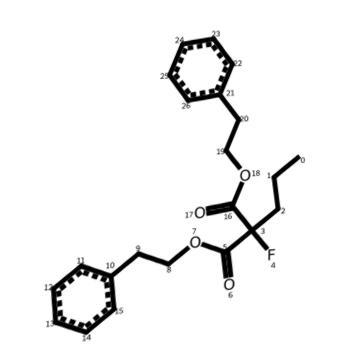 CCCC(F)(C(=O)OCCc1ccccc1)C(=O)OCCc1ccccc1